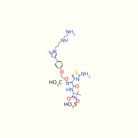 C[n+]1cc(-c2ccc(OC[C@H](O/N=C(/C(=O)NC3C(=O)N(OS(=O)(=O)O)C3(C)C)c3csc(N)n3)C(=O)O)cc2)cn1CCCNCCN